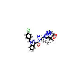 CC1(c2cn(CCNC(=O)c3nn(Cc4ccc(Cl)cc4)c4ccccc34)nn2)COC1